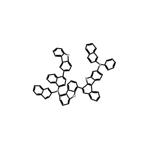 c1ccc(N(c2ccc3ccccc3c2)c2ccc3c(c2)sc2c(-c4cccc5c4oc4cccc(N(c6ccc7ccccc7c6)c6ccc(-c7ccc8oc9ccccc9c8c7)c7ccccc67)c45)cc4ccccc4c23)cc1